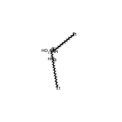 CCC=CCC=CCC=CCC=CCC=CCC=CCCC(=O)NCCCCC(NC(=O)CCCC=CCC=CCC=CCC=CCC=CCC)C(=O)O